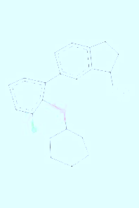 O=C(O)C1CCc2ccc(-c3cccc(Cl)c3OC3CCCCC3)cc21